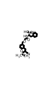 CN(C)C(=O)C(C#N)=Cc1cccc(COCC(=O)NC(Cc2ccccc2)B(O)O)c1